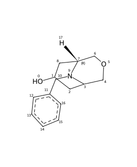 OC1CC2COC[C@@H](C1)N2Cc1ccccc1